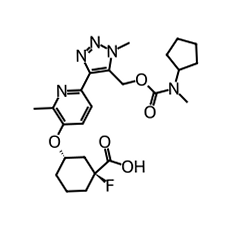 Cc1nc(-c2nnn(C)c2COC(=O)N(C)C2CCCC2)ccc1O[C@H]1CCC[C@@](F)(C(=O)O)C1